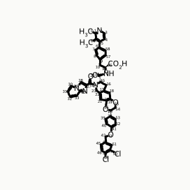 Cc1nccc(-c2ccc(C[C@H](NC(=O)[C@@H]3Cc4cc5c(cc4CN3C(=O)c3cn4ccccc4n3)O[C@@H](c3ccc(OCc4ccc(Cl)c(Cl)c4)cc3)CO5)C(=O)O)cc2)c1C